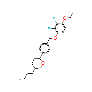 CCCCC1CCC(c2ccc(COc3ccc(OCC)c(F)c3F)cc2)OC1